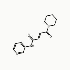 O=C(C=CC(=O)N1CCCCC1)Nc1cccnc1